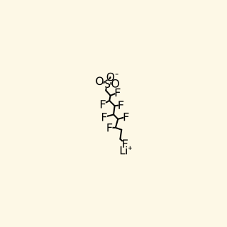 O=S(=O)([O-])CC(F)C(F)C(F)C(F)C(F)C(F)CCF.[Li+]